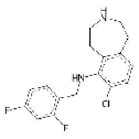 Fc1ccc(CNc2c(Cl)ccc3c2CCNCC3)c(F)c1